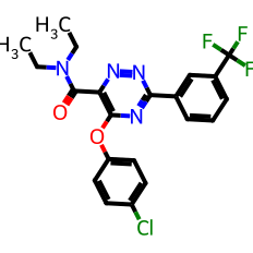 CCN(CC)C(=O)c1nnc(-c2cccc(C(F)(F)F)c2)nc1Oc1ccc(Cl)cc1